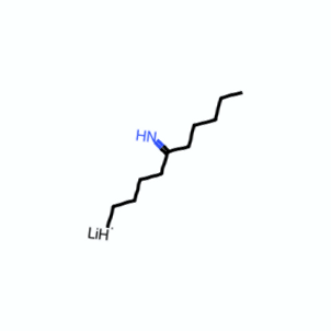 [CH2]CCCCC(=N)CCCCC.[LiH]